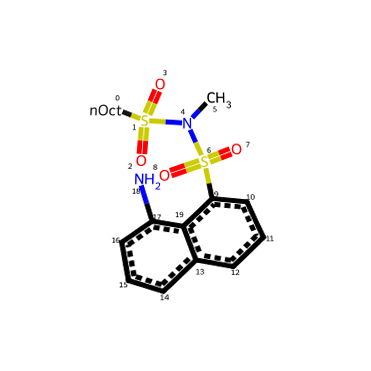 CCCCCCCCS(=O)(=O)N(C)S(=O)(=O)c1cccc2cccc(N)c12